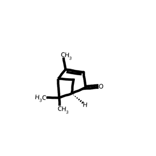 CC1=CC(=O)[C@@H]2CC1C2(C)C